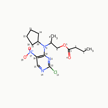 CCCC(=O)OCC(C)N(c1nc(Cl)ncc1[N+](=O)[O-])C1CCCC1